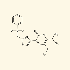 CCc1cc(-c2csc(CS(=O)(=O)c3ccccc3)n2)c(=O)[nH]c1C(C)C